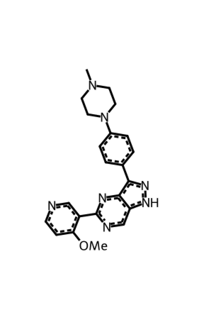 COc1ccncc1-c1ncc2[nH]nc(-c3ccc(N4CCN(C)CC4)cc3)c2n1